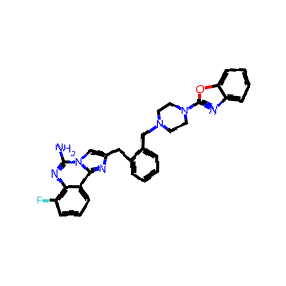 Nc1nc2c(F)cccc2c2nc(Cc3ccccc3CN3CCN(c4nc5ccccc5o4)CC3)cn12